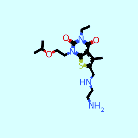 CCn1c(=O)c2c(C)c(CNCCN)sc2n(CCOC(C)C)c1=O